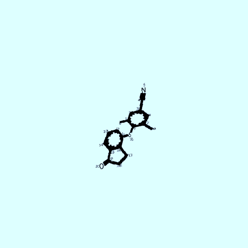 Cc1cc(C#N)cc(C)c1Sc1cccc2c1CCC2=O